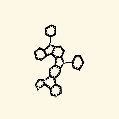 c1ccc(-n2c3ccccc3c3c4c5cc6c(cc5n(-c5ccccc5)c4ccc32)c2ccncc2c2nccn62)cc1